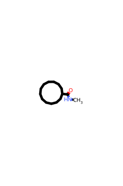 CNC(=O)C1CCCCCCCCCCCC1